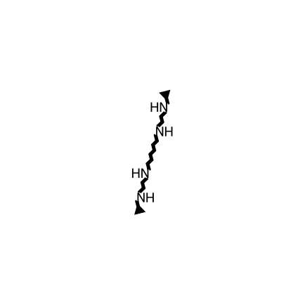 C(CCCCNCCCCNCC1CC1)CCCNCCCCNCC1CC1